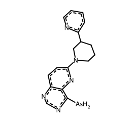 [AsH2]c1ncnc2ccc(N3CCCC(c4ccccn4)C3)nc12